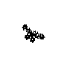 C[Si]1(C)C(c2ccc(-c3ccccn3)nc2)=C(C2=CCCC=C2)C(C2C=CC=CC2)=C1c1ccc(-c2ccccn2)nc1